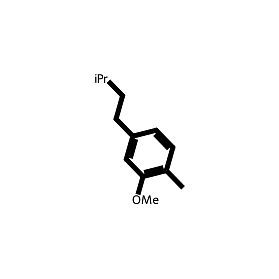 COc1cc(CCC(C)C)ccc1C